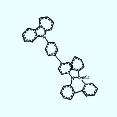 O=P1(c2ccccc2)c2ccccc2-c2ccccc2N1c1ccc(-c2ccc(-n3c4ccccc4c4ccccc43)cc2)cc1